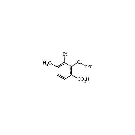 CCCOc1c(C(=O)O)ccc(C)c1CC